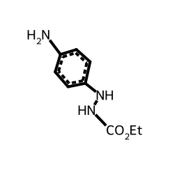 CCOC(=O)NNc1ccc(N)cc1